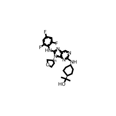 CC(C)(O)[C@H]1CC[C@H](Nc2ncc3nc(Nc4c(F)cc(F)cc4F)n([C@@H]4CCOC4)c3n2)CC1